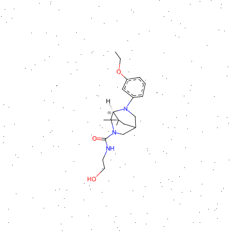 CCOc1cccc(N2CC3CN(C(=O)NCCO)C[C@@H]2C(C)(C)C3)c1